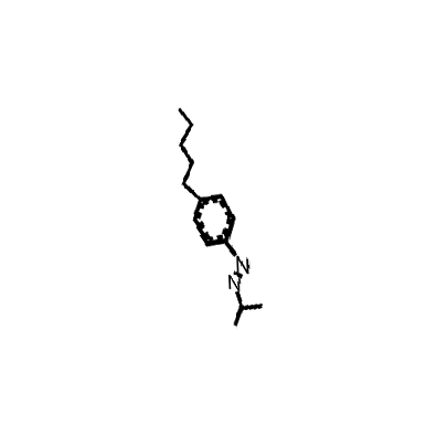 CCCCCc1ccc(N=NC(C)C)cc1